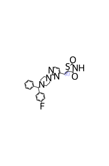 O=C1NC(=O)/C(=C/c2ccnc(N3CCN(C(c4ccccc4)c4ccc(F)cc4)CC3)n2)S1